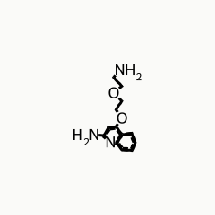 NCCOCCOc1cc(N)nc2ccccc12